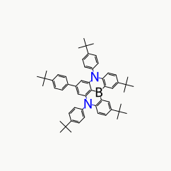 CC(C)(C)c1ccc(-c2cc3c4c(c2)N(c2ccc(C(C)(C)C)cc2)c2ccc(C(C)(C)C)cc2B4c2cc(C(C)(C)C)ccc2N3c2ccc(C(C)(C)C)cc2)cc1